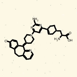 Nc1nc(C2=CCC(CC(N)C(=O)O)CC2)cc(N2CCC(=C3c4ccc(Cl)cc4CCc4cccnc43)CC2)n1